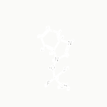 CC(F)(F)On1[c]nc2ccccc21